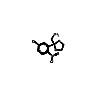 CCC1(c2cc(Cl)ccc2[N+](=O)[O-])OCCO1